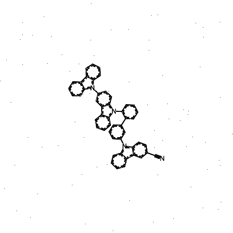 N#Cc1ccc2c(c1)c1ccccc1n2-c1cccc(-c2ccccc2-n2c3ccccc3c3cc(-n4c5ccccc5c5ccccc54)ccc32)c1